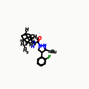 CCCCC1=NN(C(=O)N[C@H]2C[C@H]3C[C@@H]([C@@H]2C)C3(C)C)CC1c1ccccc1F